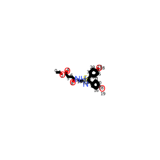 CCOC(=O)CCC(=O)NCc1nc(-c2ccc(OC)cc2)c(-c2ccc(OC)cc2)s1